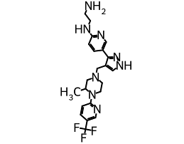 CC1CN(Cc2c[nH]nc2-c2ccc(NCCN)nc2)CCN1c1ccc(C(F)(F)F)cn1